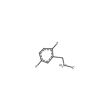 [CH2-][NH2+]Cc1cc(F)ccc1F